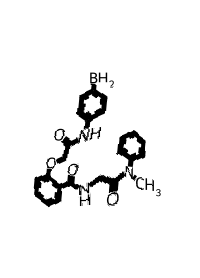 Bc1ccc(NC(=O)COc2ccccc2C(=O)NCC(=O)N(C)c2ccccc2)cc1